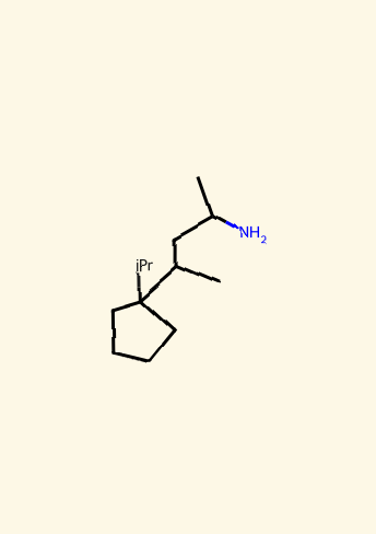 CC(N)CC(C)C1(C(C)C)CCCC1